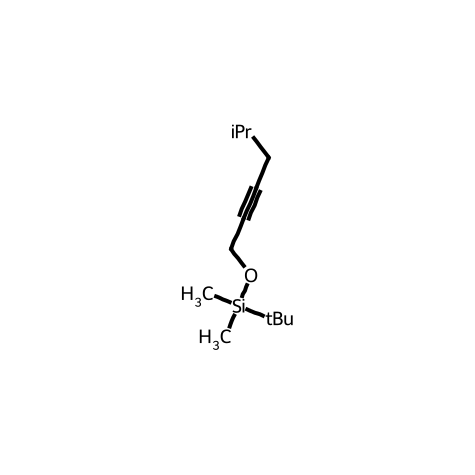 CC(C)CC#CCO[Si](C)(C)C(C)(C)C